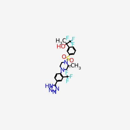 C[C@@H]1CN(c2ccc(-c3nnn[nH]3)cc2C(F)(F)F)CCN1S(=O)(=O)c1cccc(C(C)(O)C(F)(F)F)c1